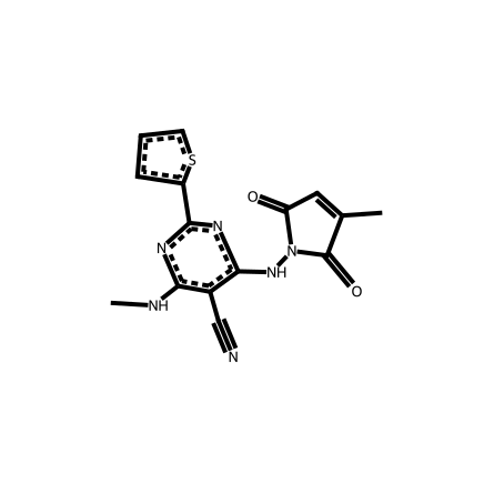 CNc1nc(-c2cccs2)nc(NN2C(=O)C=C(C)C2=O)c1C#N